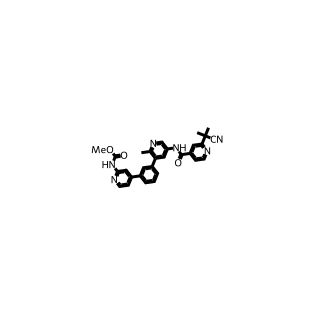 COC(=O)Nc1cc(-c2cccc(-c3cc(NC(=O)c4ccnc(C(C)(C)C#N)c4)cnc3C)c2)ccn1